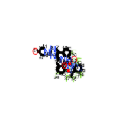 NC(=O)c1cc(-c2cnc(N3CCC(=O)CC3)nc2[C@H](Cc2cc(F)cc(F)c2)NC(=O)Cn2nc(C(F)F)c3c2C(F)(F)CCC3(F)F)ccc1F